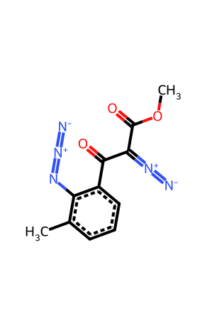 COC(=O)C(=[N+]=[N-])C(=O)c1cccc(C)c1N=[N+]=[N-]